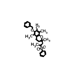 Cc1c(C)c2c(c(C)c1OCc1ccccc1)CC[C@@](C)(CC(C)S(=O)(=O)c1ccccc1)O2